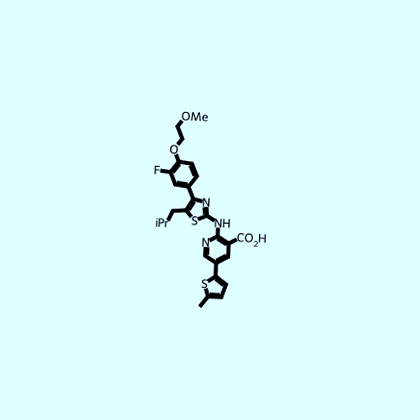 COCCOc1ccc(-c2nc(Nc3ncc(-c4ccc(C)s4)cc3C(=O)O)sc2CC(C)C)cc1F